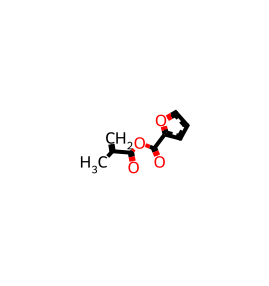 C=C(C)C(=O)OC(=O)c1ccco1